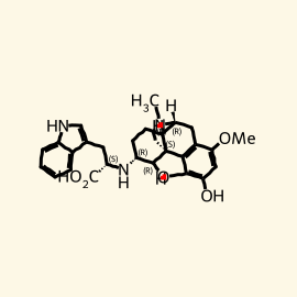 COc1cc(O)c2c3c1C[C@@H]1[C@@H]4CC[C@@H](N[C@@H](Cc5c[nH]c6ccccc56)C(=O)O)[C@H](O2)[C@]34CCN1C